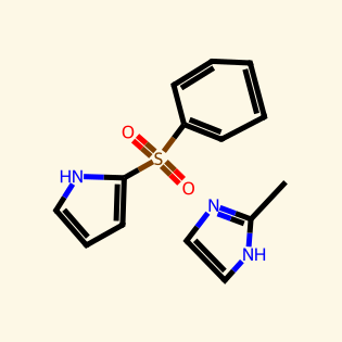 Cc1ncc[nH]1.O=S(=O)(c1ccccc1)c1ccc[nH]1